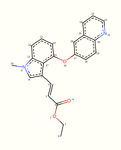 CCOC(=O)/C=C/c1cn(C)c2cccc(Oc3ccc4ncccc4c3)c12